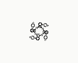 CN1CCN(c2cccc3c2-c2nc-3nc3[nH]c(nc4nc(nc5[nH]c(n2)c2cccc(N6CCN(C)CC6)c52)-c2cccc(N5CCN(C)CC5)c2-4)c2cccc(N4CCN(C)CC4)c32)CC1